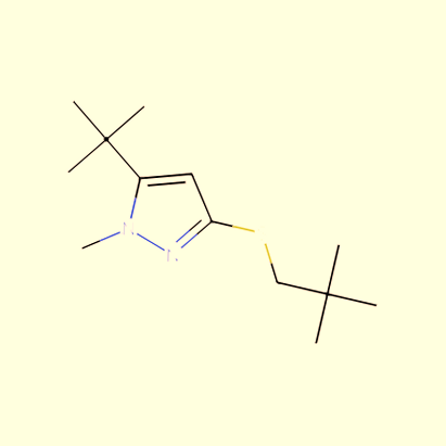 Cn1nc(SCC(C)(C)C)cc1C(C)(C)C